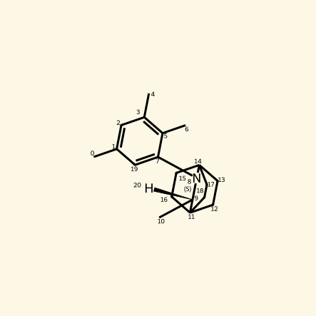 Cc1cc(C)c(C)c(N2[C@@H](C)C34CCC2(CC3)CC4)c1